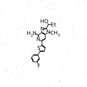 CCC(O)c1nc2c(N)nc(-c3ccc(-c4cccc(F)c4)s3)cc2n1C